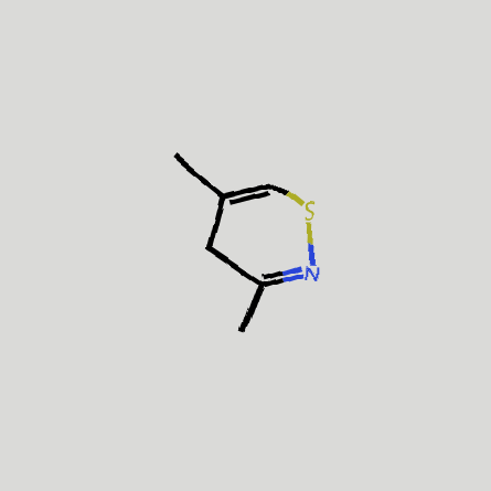 CC1=CSN=C(C)C1